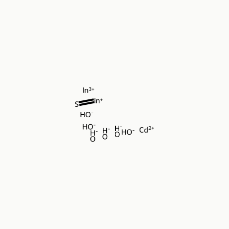 [Cd+2].[In+3].[OH-].[OH-].[OH-].[OH-].[OH-].[OH-].[S]=[In+]